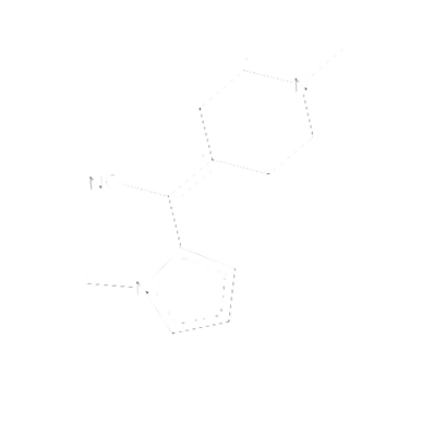 CN1CCC(=C(C#N)c2cccn2C)CC1